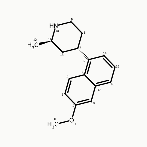 COc1ccc2c([C@H]3CCN[C@H](C)C3)cccc2c1